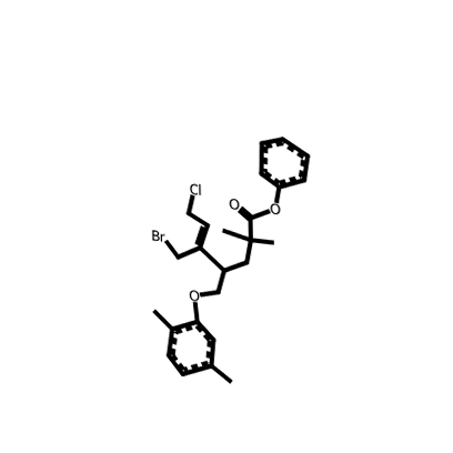 Cc1ccc(C)c(OCC(CC(C)(C)C(=O)Oc2ccccc2)C(=CCCl)CBr)c1